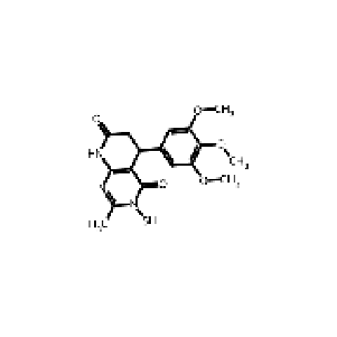 COc1cc(C2CC(=O)Nc3nc(C)n(S)c(=O)c32)cc(OC)c1OC